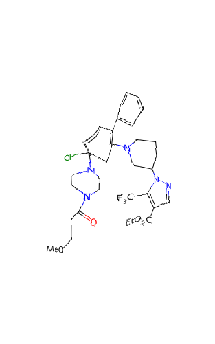 CCOC(=O)c1cnn(C2CCCN(C3=C(c4ccccc4)C=CC(Cl)(N4CCN(C(=O)CCOC)CC4)C3)C2)c1C(F)(F)F